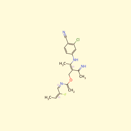 C=C(/N=C\C(F)=C/C)OC/C(C(C)=N)=C(\C)Nc1ccc(C#N)c(Cl)c1